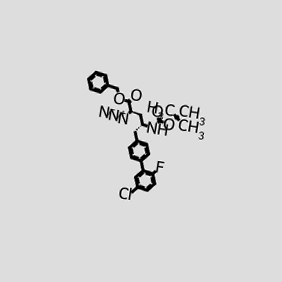 CC(C)(C)OC(=O)N[C@H](Cc1ccc(-c2cc(Cl)ccc2F)cc1)C[C@@H](N=[N+]=[N-])C(=O)OCc1ccccc1